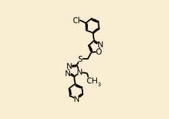 CCn1c(SCc2cc(-c3cccc(Cl)c3)no2)nnc1-c1ccncc1